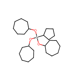 C1CCCC(O[Si](OC2CCCCCC2)(OC2CCCCCC2)C2CCCC2)CC1